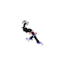 CC[C@H](CC[C@@H](C)[C@H]1CC[C@H]2[C@@H]3CC=C4C[C@@H](OC(=O)CCC(=O)N(CCCCCCCC(C)(C)N)CCC(C)(C)N)CC[C@]4(C)[C@H]3CC[C@]12C)C(C)C